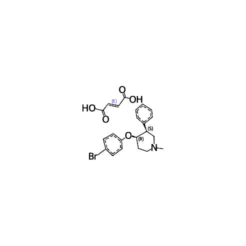 CN1CC[C@@H](Oc2ccc(Br)cc2)[C@@H](c2ccccc2)C1.O=C(O)/C=C/C(=O)O